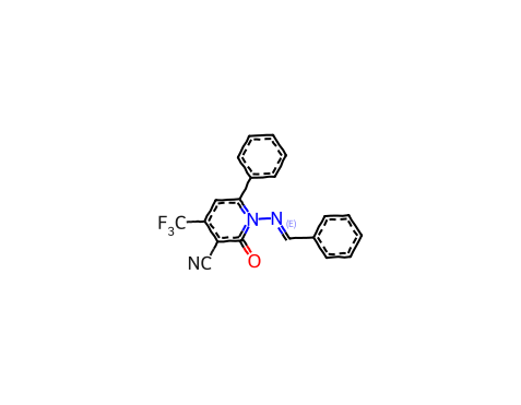 N#Cc1c(C(F)(F)F)cc(-c2ccccc2)n(/N=C/c2ccccc2)c1=O